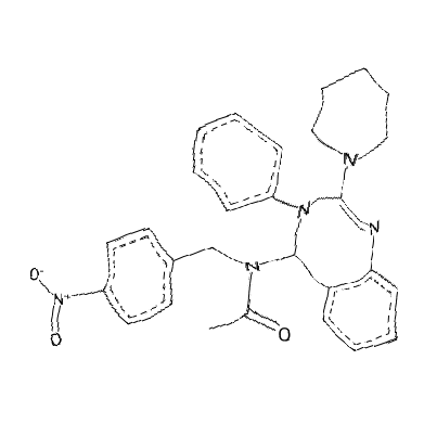 CC(=O)N(Cc1ccc([N+](=O)[O-])cc1)C1c2ccccc2N=C(N2CCCCC2)N1c1ccccc1